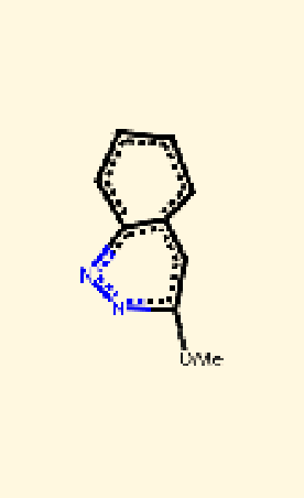 COc1cc2cc[c]cc2nn1